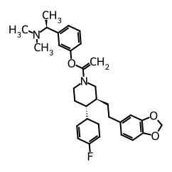 C=C(Oc1cccc([C@H](C)N(C)C)c1)N1CC[C@@H](C2C=CC(F)=CC2)[C@H](CCc2ccc3c(c2)OCO3)C1